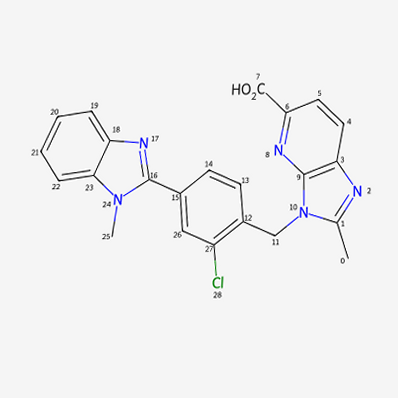 Cc1nc2ccc(C(=O)O)nc2n1Cc1ccc(-c2nc3ccccc3n2C)cc1Cl